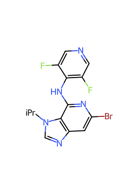 CC(C)n1cnc2cc(Br)nc(Nc3c(F)cncc3F)c21